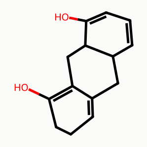 OC1=CC=CC2CC3=CCCC(O)=C3CC12